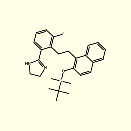 CC(C)(C)[Si](C)(C)Oc1ccc2ccccc2c1CCc1c(F)cccc1C1=NCCN1